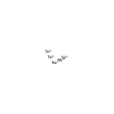 [Na+].[Nb+5].[Te-2].[Te-2].[Te-2]